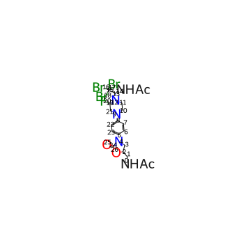 CC(=O)NCC1CN(c2ccc(N3CCN(C(NC(C)=O)C(Br)(Br)Br)C(F)C3)cc2)C(=O)O1